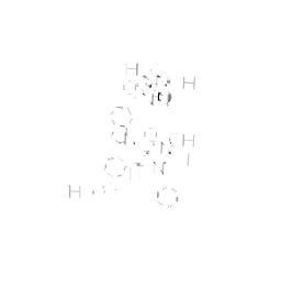 COc1ccc2c(c1)[C@H]1CN(Cc3ccccc3)C[C@@]1(C(=O)N(C)C)Cn1c-2c(C2CCCCC2)c2ccc(C(=O)NS(=O)(=O)N(C)C)cc21